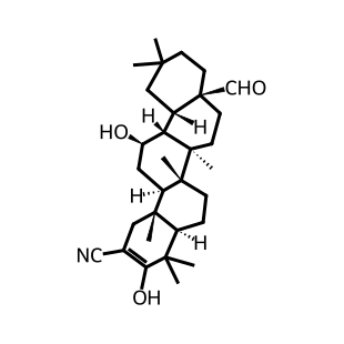 CC1(C)CC[C@]2(C=O)CC[C@]3(C)[C@H]([C@H](O)C[C@@H]4[C@@]5(C)CC(C#N)=C(O)C(C)(C)[C@@H]5CC[C@]43C)[C@@H]2C1